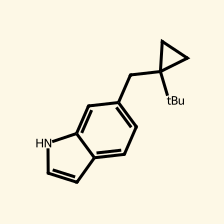 CC(C)(C)C1(Cc2ccc3cc[nH]c3c2)CC1